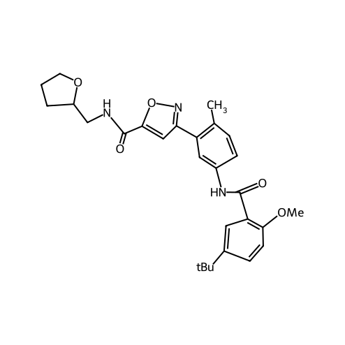 COc1ccc(C(C)(C)C)cc1C(=O)Nc1ccc(C)c(-c2cc(C(=O)NCC3CCCO3)on2)c1